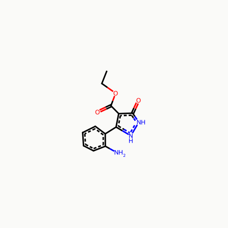 CCOC(=O)c1c(-c2ccccc2N)[nH][nH]c1=O